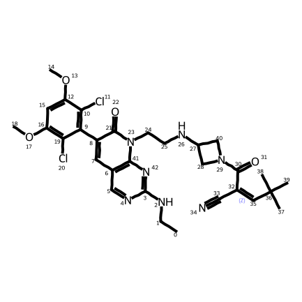 CCNc1ncc2cc(-c3c(Cl)c(OC)cc(OC)c3Cl)c(=O)n(CCNC3CN(C(=O)/C(C#N)=C\C(C)(C)C)C3)c2n1